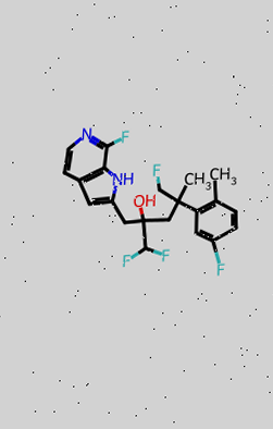 Cc1ccc(F)cc1C(C)(CF)CC(O)(Cc1cc2ccnc(F)c2[nH]1)C(F)F